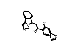 OC(CC1c2ccccc2-c2cncn21)c1cc2ccoc2cc1Br